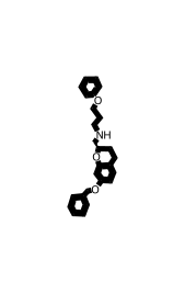 c1ccc(COc2ccc3c(c2)O[C@@H](CNCCCOc2ccccc2)CC3)cc1